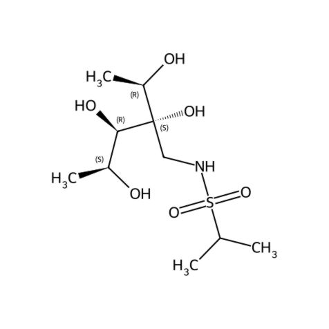 CC(C)S(=O)(=O)NC[C@@](O)([C@H](O)[C@H](C)O)[C@@H](C)O